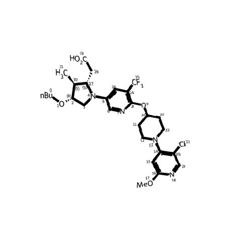 CCCCO[C@H]1CN(c2cnc(OC3CCN(c4cc(OC)ncc4Cl)CC3)c(C(F)(F)F)c2)[C@@H](CC(=O)O)[C@@H]1C